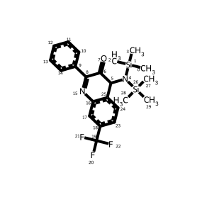 C[Si](C)(C)N(C1C(=O)C(c2ccccc2)=Nc2cc(C(F)(F)F)ccc21)[Si](C)(C)C